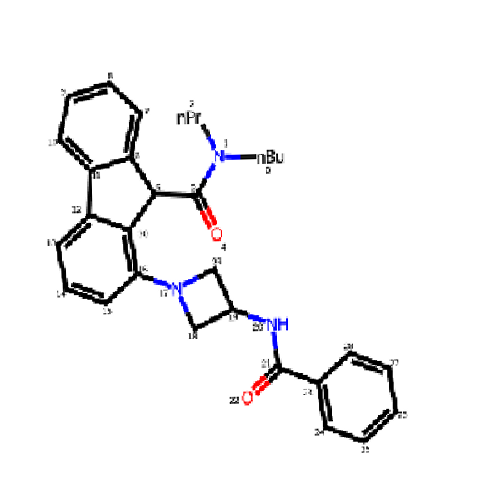 CCCCN(CCC)C(=O)C1c2ccccc2-c2cccc(N3CC(NC(=O)c4ccccc4)C3)c21